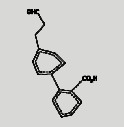 O=CCCc1ccc(-c2ccccc2C(=O)O)cc1